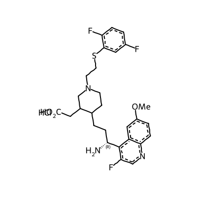 COc1ccc2ncc(F)c([C@H](N)CCC3CCN(CCSc4cc(F)ccc4F)CC3CC(=O)O)c2c1.Cl